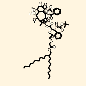 CCCCCCCCCCC(CCCCCCCC)COC(=O)CSCC(=O)O[C@H](C(=O)O[C@@H]1C[C@]2(O)[C@H](OC(=O)c3ccccc3)[C@H]3[C@@]4(OC(C)=O)CO[C@H]4C[C@@H](OC)[C@]3(C)C(O)[C@@H](OC)C(=C1C)C2(C)C)[C@H](NC(=O)OC(C)(C)C)c1ccccc1